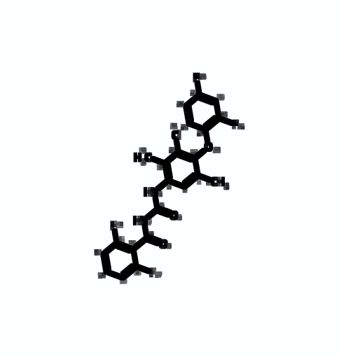 Cc1cc(NC(=O)NC(=O)c2c(F)cccc2F)c(C)c(Cl)c1Oc1ccc(F)cc1F